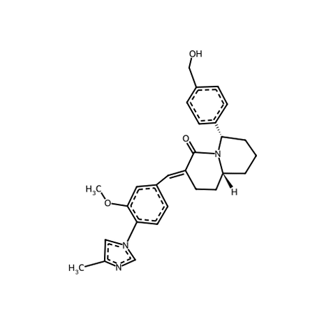 COc1cc(/C=C2\CC[C@H]3CCC[C@@H](c4ccc(CO)cc4)N3C2=O)ccc1-n1cnc(C)c1